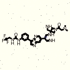 CN(C)CC(=O)N1CC(CN)(N/C=C(\C=N)c2cnn3c(-c4cccc(NC(=O)NCC(F)(F)F)c4)cnc3c2)C1